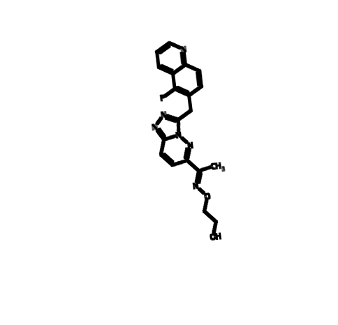 C/C(=N\OCCO)c1ccc2nnc(Cc3ccc4ncccc4c3F)n2n1